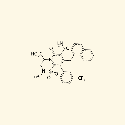 CCCN1CC(C(=O)O)n2c(c(-c3cccc(C(F)(F)F)c3)c(Cc3cccc4ccccc34)c(C(N)=O)c2=O)S1(=O)=O